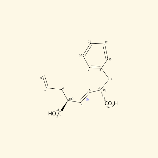 C=CC[C@@H](/C=C/[C@H](Cc1ccccc1)C(=O)O)C(=O)O